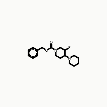 O=C(OCc1ccccc1)N1CCC(N2CCCCC2)C(F)C1